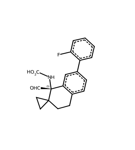 O=C[C@@]1(NC(=O)O)c2cc(-c3ccccc3F)ccc2CCC12CC2